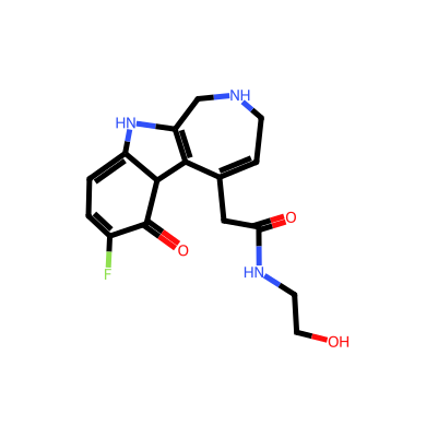 O=C(CC1=CCNCC2=C1C1C(=O)C(F)=CC=C1N2)NCCO